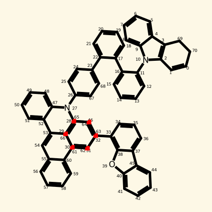 C1=Cc2c(c3ccccc3n2-c2ccccc2-c2ccccc2-c2ccc(N(c3cccc(-c4cccc5c4oc4ccccc45)c3)c3ccccc3-c3cc4ccccc4c4ccccc34)cc2)CC1